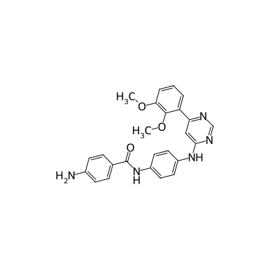 COc1cccc(-c2cc(Nc3ccc(NC(=O)c4ccc(N)cc4)cc3)ncn2)c1OC